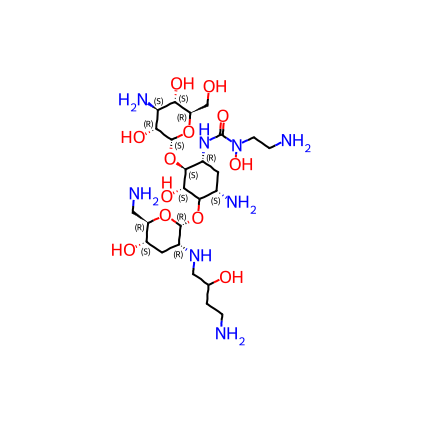 NCCC(O)CN[C@@H]1C[C@H](O)[C@@H](CN)O[C@@H]1OC1[C@@H](N)C[C@@H](NC(=O)N(O)CCN)[C@H](O[C@H]2O[C@H](CO)[C@@H](O)[C@H](N)[C@H]2O)[C@H]1O